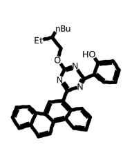 CCCCC(CC)COc1nc(-c2ccccc2O)nc(-c2cc3c4ccccc4ccc3c3ccccc23)n1